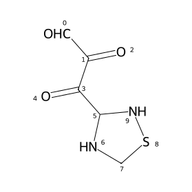 O=CC(=O)C(=O)C1NCSN1